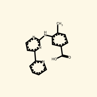 Cc1ccc(C(=O)O)cc1Nc1nccc(-c2ccccn2)n1